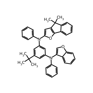 CC(C)(C)c1cc(N(c2ccccc2)c2cc3c(o2)-c2ccccc2C3(C)C)cc(N(c2ccccc2)c2coc3ccccc23)c1